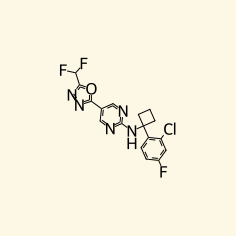 Fc1ccc(C2(Nc3ncc(-c4nnc(C(F)F)o4)cn3)CCC2)c(Cl)c1